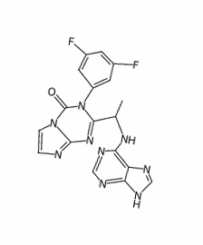 CC(Nc1ncnc2[nH]cnc12)c1nc2nccn2c(=O)n1-c1cc(F)cc(F)c1